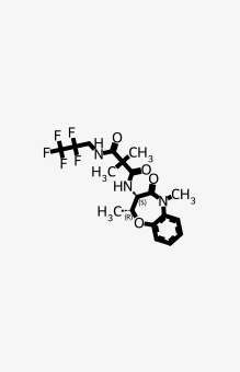 C[C@H]1Oc2ccccc2N(C)C(=O)[C@H]1NC(=O)C(C)(C)C(=O)NCC(F)(F)C(F)(F)F